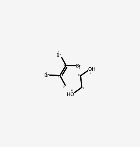 CC(Br)=C(Br)Br.OCCO